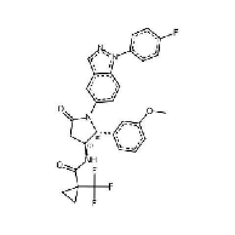 COc1cccc([C@@H]2[C@@H](NC(=O)C3(C(F)(F)F)CC3)CC(=O)N2c2ccc3c(cnn3-c3ccc(F)cc3)c2)c1